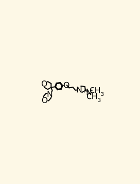 CN(C)[C@@H]1CCN(CCCOc2ccc(C3(CN4CCOCC4)CCOCC3)cc2)C1